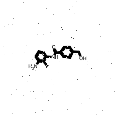 Cc1c(N)cccc1NC(=O)c1ccc(CO)cc1